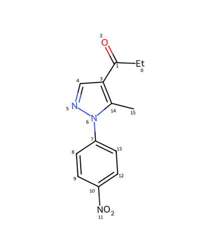 CCC(=O)c1cnn(-c2ccc([N+](=O)[O-])cc2)c1C